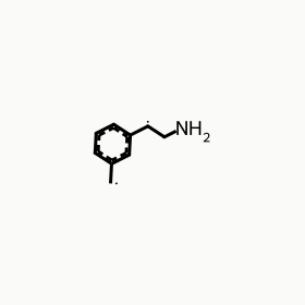 [CH2]c1cccc([CH]CN)c1